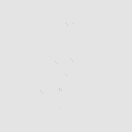 CC(=O)Nc1ccc(Nc2nccc(N(CC#N)c3c(Cl)ccc4c3OCO4)n2)cc1